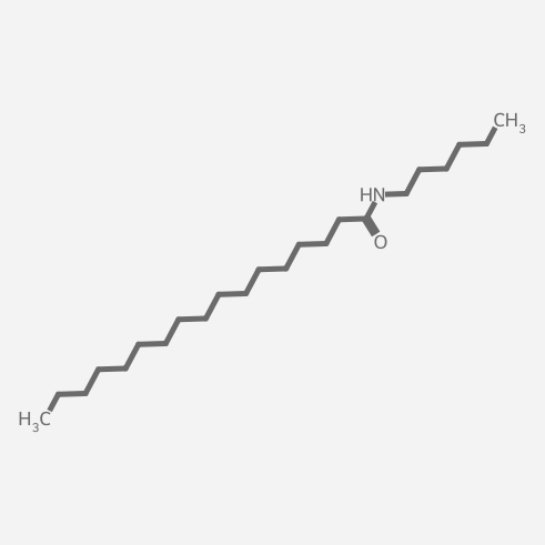 CCCCCCCCCCCCCCCCC(=O)NCCCCCC